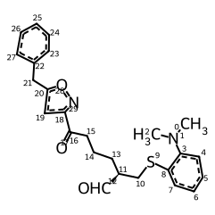 CN(C)c1ccccc1SC[C@@H](C=O)CCCC(=O)c1cc(Cc2ccccc2)on1